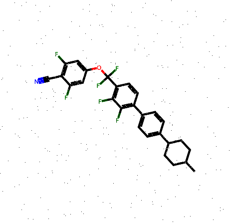 CC1CCC(c2ccc(-c3ccc(C(F)(F)Oc4cc(F)c(C#N)c(F)c4)c(F)c3F)cc2)CC1